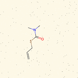 C=CCSC(=O)N(C)C